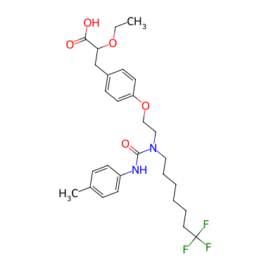 CCOC(Cc1ccc(OCCN(CCCCCCC(F)(F)F)C(=O)Nc2ccc(C)cc2)cc1)C(=O)O